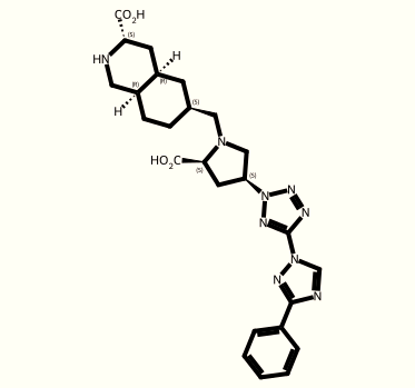 O=C(O)[C@@H]1C[C@H]2C[C@@H](CN3C[C@@H](n4nnc(-n5cnc(-c6ccccc6)n5)n4)C[C@H]3C(=O)O)CC[C@H]2CN1